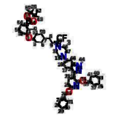 Cc1c(OC2CCC(CC[C@@H](N3CCN(c4ccc5c(-c6ccc(OCc7ccccc7)nc6OCc6ccccc6)nn(C)c5c4)CC3)C(F)(F)F)CC2)cccc1B1OC(C)(C)C(C)(C)O1